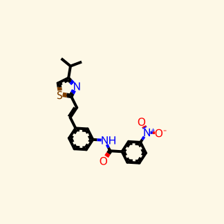 CC(C)c1csc(C=Cc2cccc(NC(=O)c3cccc([N+](=O)[O-])c3)c2)n1